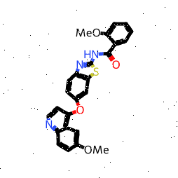 COc1ccc2nccc(Oc3ccc4nc(NC(=O)c5ccccc5OC)sc4c3)c2c1